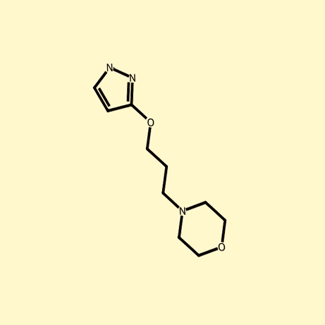 C1=CC(OCCCN2CCOCC2)=N[N]1